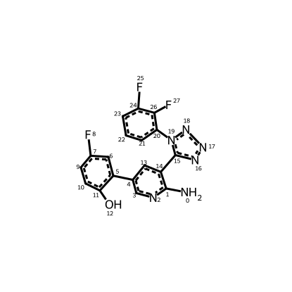 Nc1ncc(-c2cc(F)ccc2O)cc1-c1nnnn1-c1cccc(F)c1F